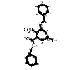 O=C(OCc1ccccc1)c1cc(F)cc(OCc2ccccc2)c1[N+](=O)[O-]